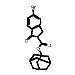 O=C(OC12CC3CC(CC(C3)C1)C2)C1Cc2cc(Br)ccc2C1=O